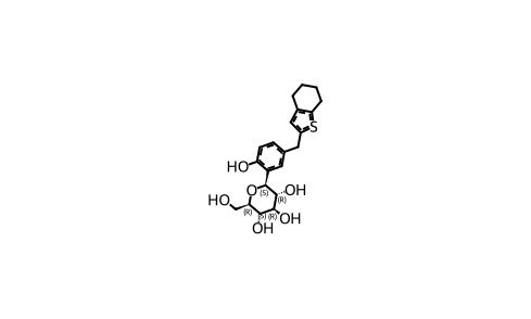 OC[C@H]1O[C@@H](c2cc(Cc3cc4c(s3)CCCC4)ccc2O)[C@H](O)[C@@H](O)[C@@H]1O